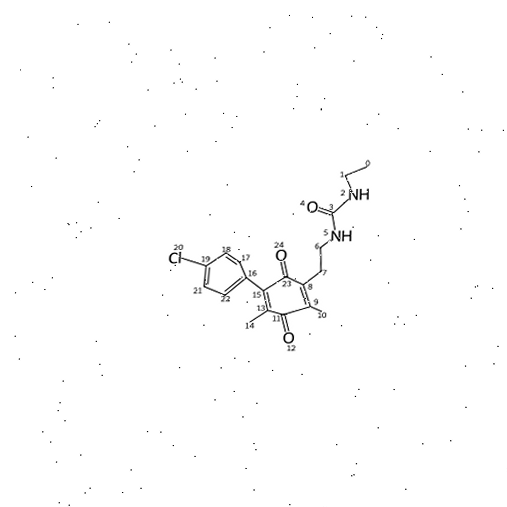 CCNC(=O)NCCC1=C(C)C(=O)C(C)=C(c2ccc(Cl)cc2)C1=O